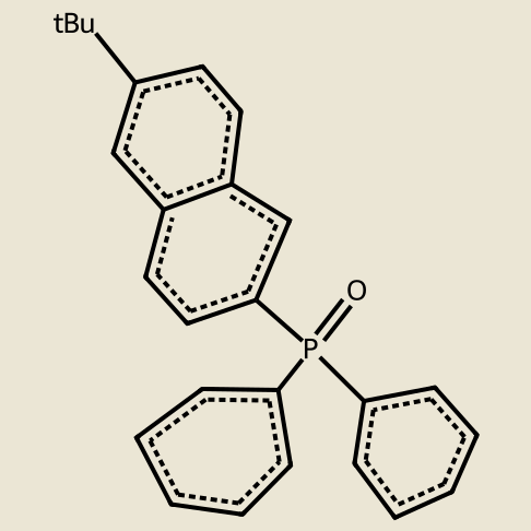 CC(C)(C)c1ccc2cc(P(=O)(c3ccccc3)c3ccccc3)ccc2c1